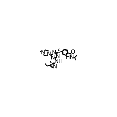 CCc1cnc(Nc2nc(Sc3ccc(C(=O)NC(C)C)cc3)nc(N3CCN(C)CC3)n2)s1